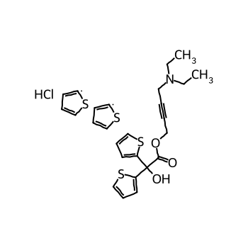 CCN(CC)CC#CCOC(=O)C(O)(c1cccs1)c1cccs1.Cl.[c]1cccs1.[c]1cccs1